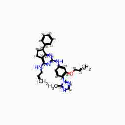 C=CCNc1nc(Nc2ccc(-n3ncnc3C)c(OCC=C)c2)nc2c1CCC2c1ccccc1